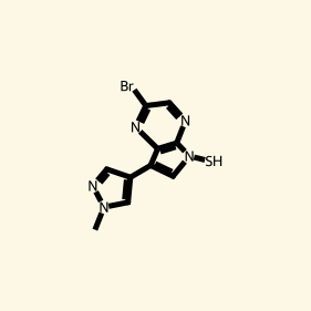 Cn1cc(-c2cn(S)c3ncc(Br)nc23)cn1